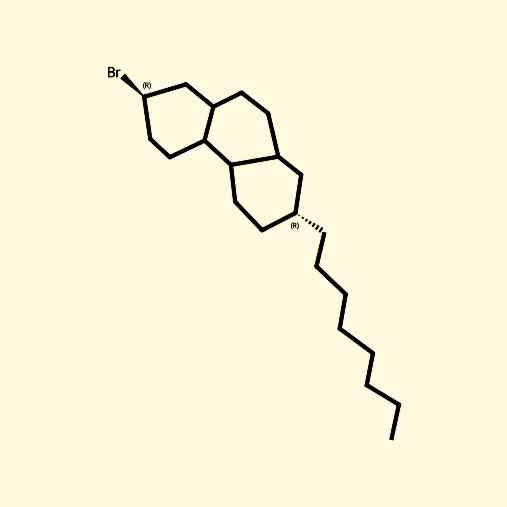 CCCCCCCC[C@@H]1CCC2C(CCC3C[C@H](Br)CCC32)C1